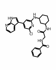 O=C(CNC(=O)c1ccccc1)NC1CCCC(Nc2cc(-c3c[nH]c4ncccc34)cc(Cl)n2)C1